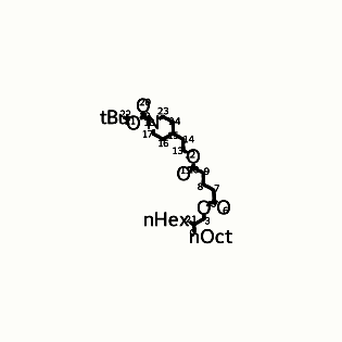 CCCCCCCCC(CCCCCC)COC(=O)CCCC(=O)OCCC1CCN(C(=O)OC(C)(C)C)CC1